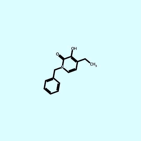 CCc1ccn(Cc2ccccc2)c(=O)c1O